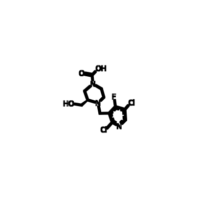 O=C(O)N1CCN(Cc2c(Cl)ncc(Cl)c2F)[C@@H](CO)C1